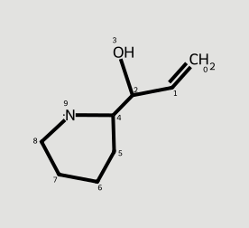 C=CC(O)C1CCCC[N]1